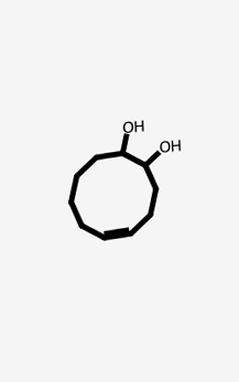 OC1CCC=CCCCCC1O